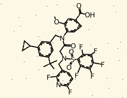 COc1cc(C(=O)O)ccc1N(Cc1cc(C2CC2)cc(C(C)(C)C)c1)C(=O)CN(Cc1ccc(F)nc1F)S(=O)(=O)c1c(F)c(F)c(F)c(F)c1F